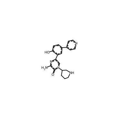 Nc1nc(-c2cc(-c3ccncc3)ccc2O)cn(C2CCCNC2)c1=O